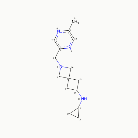 Cc1cnc(CN2CC3(CC(NC4CC4)C3)C2)cn1